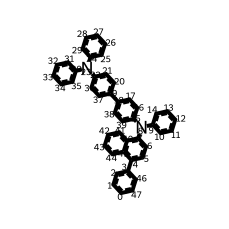 c1ccc(-c2ccc(N(c3ccccc3)c3ccc(-c4ccc(N(c5ccccc5)c5ccccc5)cc4)cc3)c3ccccc23)cc1